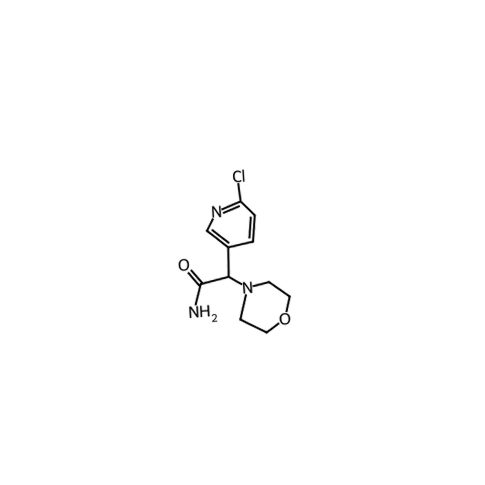 NC(=O)C(c1ccc(Cl)nc1)N1CCOCC1